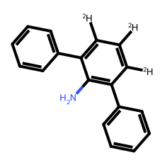 [2H]c1c([2H])c(-c2ccccc2)c(N)c(-c2ccccc2)c1[2H]